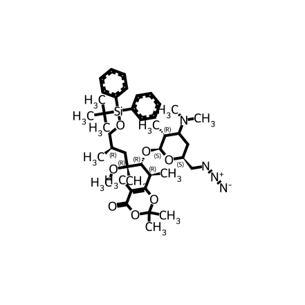 CO[C@](C)(C[C@@H](C)CO[Si](c1ccccc1)(c1ccccc1)C(C)(C)C)[C@H](O[C@@H]1O[C@H](CN=[N+]=[N-])CC(N(C)C)[C@H]1C)[C@@H](C)C1=C(C)C(=O)OC(C)(C)O1